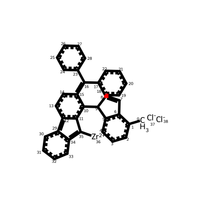 Cc1cccc2c1C=CC2c1c2c(ccc1=C(c1ccccc1)c1ccccc1)=c1ccccc1=[C]2[Zr+2].[Cl-].[Cl-]